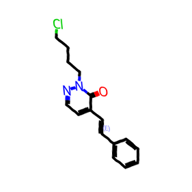 O=c1c(/C=C/c2ccccc2)ccnn1CCCCCl